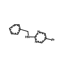 CC(C)c1cnc(NCc2ccccc2)nc1